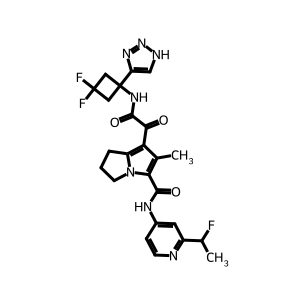 Cc1c(C(=O)C(=O)NC2(c3c[nH]nn3)CC(F)(F)C2)c2n(c1C(=O)Nc1ccnc(C(C)F)c1)CCC2